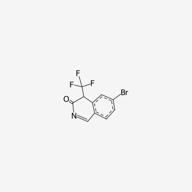 O=C1N=Cc2ccc(Br)cc2C1C(F)(F)F